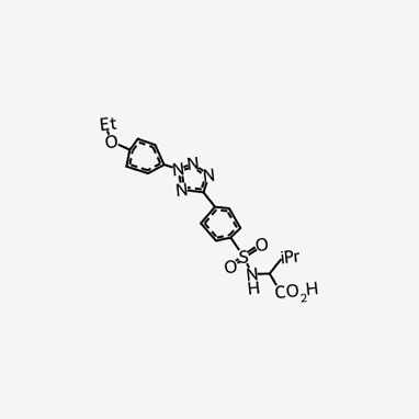 CCOc1ccc(-n2nnc(-c3ccc(S(=O)(=O)NC(C(=O)O)C(C)C)cc3)n2)cc1